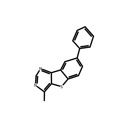 Cc1ncnc2c1sc1ccc(-c3ccccc3)cc12